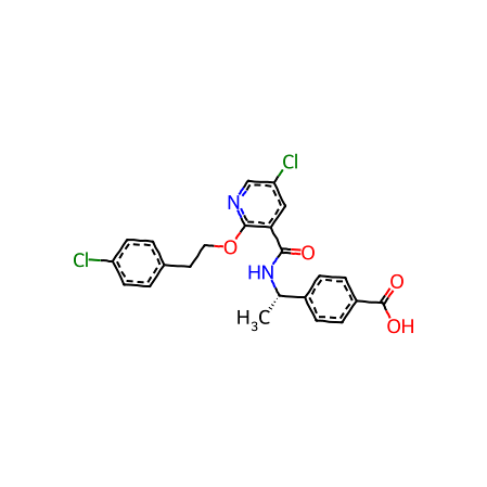 C[C@H](NC(=O)c1cc(Cl)cnc1OCCc1ccc(Cl)cc1)c1ccc(C(=O)O)cc1